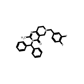 Cc1nc2c(c(=O)n1C(c1ccccc1)c1ccccc1)CN(Cc1ccc(F)c(F)c1)CC2